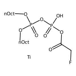 CCCCCCCCOP(=O)(OCCCCCCCC)OP(=O)(O)OC(=O)CF.[Ti]